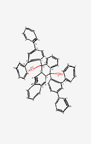 OC1(c2ccc(-c3ccccc3)cc2-c2ccccc2)c2ccccc2C(O)(c2ccc(-c3ccccc3)cc2-c2ccccc2)C2C=c3ccccc3=CC21